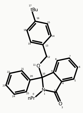 CCCN1C(=O)c2ccccc2C1(OCc1ccc(C(C)(C)C)cc1)c1ccccc1